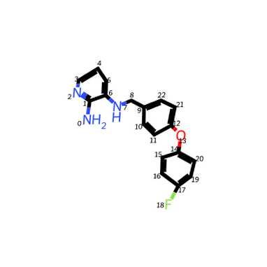 Nc1ncccc1NCc1ccc(Oc2ccc(F)cc2)cc1